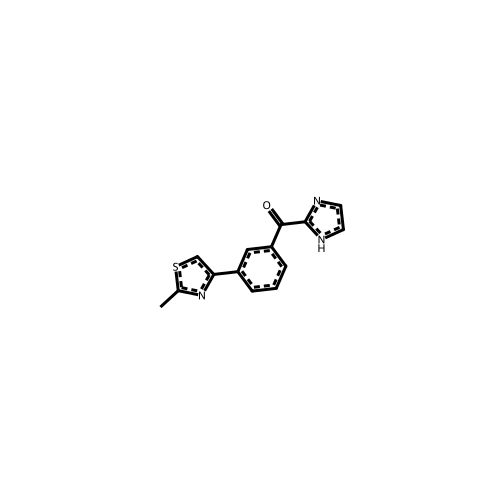 Cc1nc(-c2cccc(C(=O)c3ncc[nH]3)c2)cs1